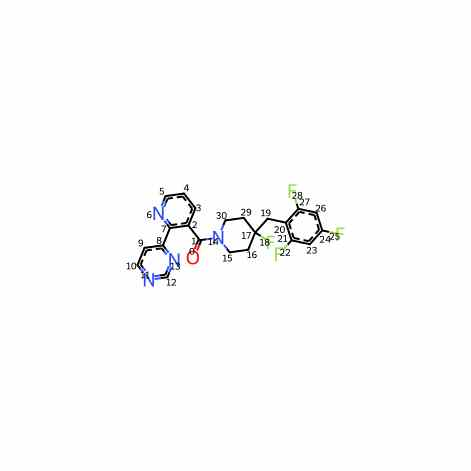 O=C(c1cccnc1-c1ccncn1)N1CCC(F)(Cc2c(F)cc(F)cc2F)CC1